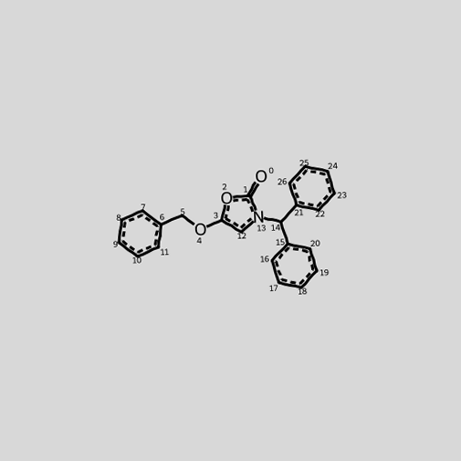 O=c1oc(OCc2ccccc2)cn1C(c1ccccc1)c1ccccc1